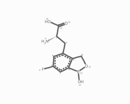 N[C@@H](Cc1cc(F)cc2c1COB2O)C(=O)O